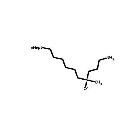 CCCCCCCCCCCCC[N+](C)([O-])CCCN